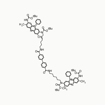 Cc1cc2nc3cc(C)c(N(CCCCCCNC(=O)c4ccc(-c5ccc(C(=O)NCCCCCCN(C(=O)OC(C)(C)C)c6cc7c(cc6C)nc6cc(C)c(NC(=O)OC(C)(C)C)cc6[n+]7-c6ccccc6)cc5)cc4)C(=O)OC(C)(C)C)cc3[n+](-c3ccccc3)c2cc1NC(=O)OC(C)(C)C